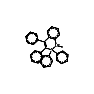 C[O+]1c2ccccc2C(c2ccccc2)=C(c2ccccc2)[B-]1(c1ccccc1)c1ccccc1